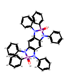 O=P1(c2ccccc2)N(c2ccccc2)c2cc3c(cc2N1c1ccccc1)N(c1ccccc1)P(=O)(c1ccccc1)N3c1ccccc1